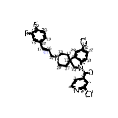 O=C(c1ccnc(Cl)c1)N1CC2(CCN(C/C=C/c3ccc(F)c(F)c3)CC2)c2cc(Cl)ccc21